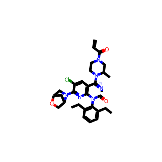 C=CC(=O)N1CCN(/C(=N/C)c2cc(Cl)c(N3CC4CC3CO4)nc2N(C=O)c2c(CC)cccc2CC)C(C)C1